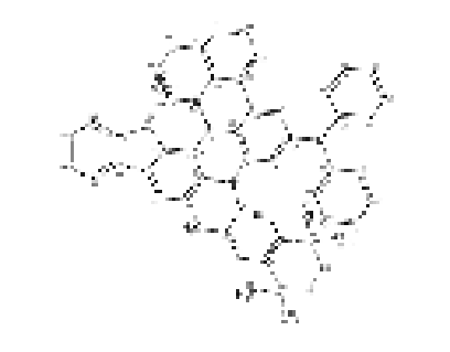 Cc1cc2c(cc1N1c3cc(N(c4ccccc4)c4ccccc4)cc4c3B(c3c1ccc1c3oc3ccccc31)N1c3ccccc3Sc3cccc-4c31)C(C)(C)CCC2(C)C